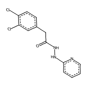 O=C(Cc1ccc(Cl)c(Cl)c1)NNc1ccccn1